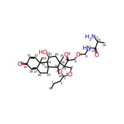 CCCC1OCC(C(=O)COCNC(=O)C(C)N)(C2(C)CC(O)C3C(CCC4=CC(=O)C=CC43C)C2C)O1